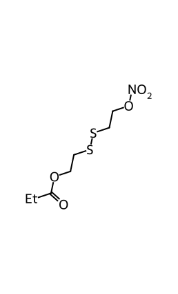 CCC(=O)OCCSSCCO[N+](=O)[O-]